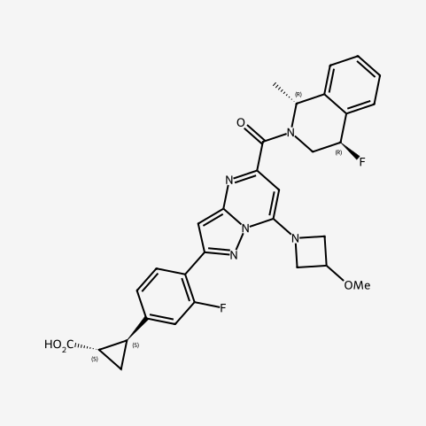 COC1CN(c2cc(C(=O)N3C[C@H](F)c4ccccc4[C@H]3C)nc3cc(-c4ccc([C@H]5C[C@@H]5C(=O)O)cc4F)nn23)C1